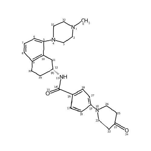 CN1CCN(c2cccc3c2C[C@H](NC(=O)c2ccc(N4CCC(=O)CC4)cc2)CC3)CC1